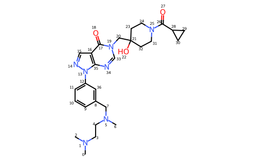 CN(C)CCN(C)Cc1cccc(-n2ncc3c(=O)n(CC4(O)CCN(C(=O)C5CC5)CC4)cnc32)c1